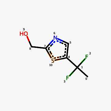 CC(F)(F)c1cnc(CO)s1